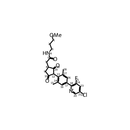 COCCCNC(=O)CC1CC(=O)C(c2c(C)cc(-c3ncc(Cl)cc3F)cc2C)C1=O